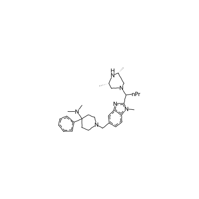 CCCC(c1nc2cc(CN3CCC(c4ccccc4)(N(C)C)CC3)ccc2n1C)N1C[C@@H](C)N[C@@H](C)C1